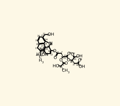 C[C@H](O)C(=O)O[C@@H](CC(=O)OC1=CC[C@@]2(O)[C@H]3Cc4ccc(CO)c5c4[C@@]2(CCN3C)[C@H]1O5)C(=O)O[C@H](CC(=O)O)C(=O)O